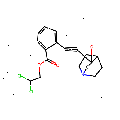 O=C(OCC(Cl)Cl)c1ccccc1C#CC1(O)CN2CCC1CC2